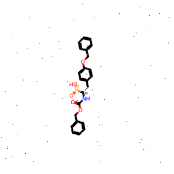 O=C(N[C@@H](Cc1ccc(OCc2ccccc2)cc1)[PH](=O)O)OCc1ccccc1